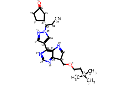 C[Si](C)(C)CCOCC1C=Nc2c(-c3cnn(C(CC#N)[C@@H]4CCC(=O)C4)c3)ncnc21